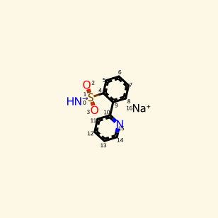 [NH-]S(=O)(=O)c1ccccc1-c1ccccn1.[Na+]